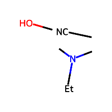 CC#N.CCN(C)C.CO